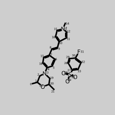 CC1CN(c2ccc(C=Cc3cc[n+](C)cc3)cc2)CC(C)O1.O=S(=O)([O-])c1ccc(F)cc1